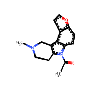 CC(=O)n1c2c(c3c4ccoc4ccc31)CN(C)CC2